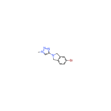 Cn1cc(N2Cc3ccc(Br)cc3C2)nn1